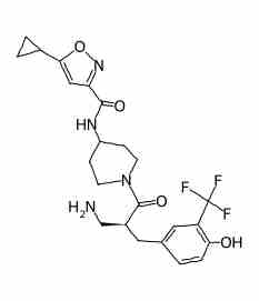 NC[C@H](Cc1ccc(O)c(C(F)(F)F)c1)C(=O)N1CCC(NC(=O)c2cc(C3CC3)on2)CC1